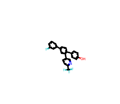 Oc1ccc(-c2ccc(-c3cccc(F)c3)cc2-c2ccc(C(F)(F)F)nc2)cc1